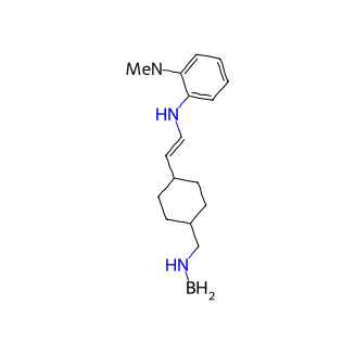 BNCC1CCC(/C=C/Nc2ccccc2NC)CC1